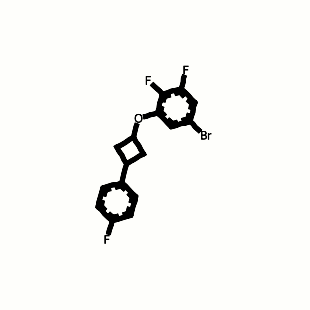 Fc1ccc(C2CC(Oc3cc(Br)cc(F)c3F)C2)cc1